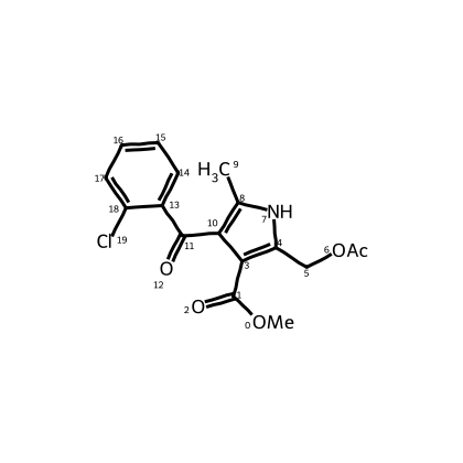 COC(=O)c1c(COC(C)=O)[nH]c(C)c1C(=O)c1ccccc1Cl